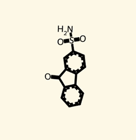 NS(=O)(=O)c1ccc2c(c1)C(=O)c1ccccc1-2